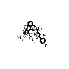 Cc1nn(C)c(C)c1C1CN(C(=O)c2cc(-c3ccc(F)cc3F)sn2)Cc2ccccc21